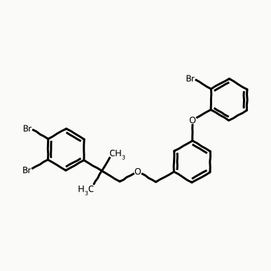 CC(C)(COCc1cccc(Oc2ccccc2Br)c1)c1ccc(Br)c(Br)c1